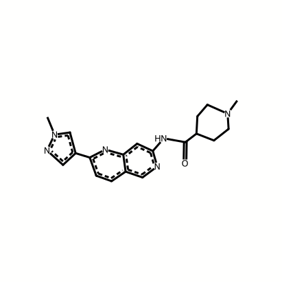 CN1CCC(C(=O)Nc2cc3nc(-c4cnn(C)c4)ccc3cn2)CC1